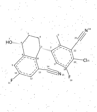 Cc1c([C@H]2CC[C@@H](O)c3cc(F)cc(C#N)c32)cc(F)c(Cl)c1C#N